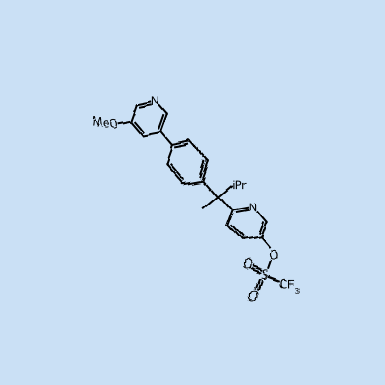 COc1cncc(-c2ccc(C(C)(c3ccc(OS(=O)(=O)C(F)(F)F)cn3)C(C)C)cc2)c1